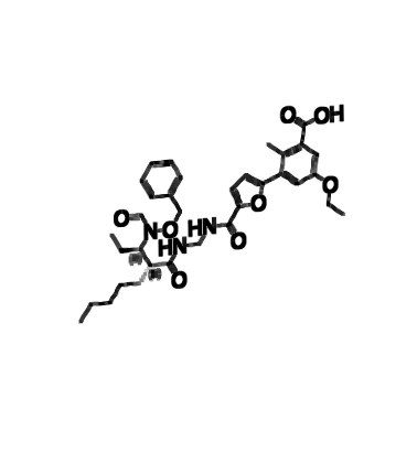 CCCCC[C@@H](C(=O)NCNC(=O)c1ccc(-c2cc(OCC)cc(C(=O)O)c2C)o1)[C@@H](CC)N(C=O)OCc1ccccc1